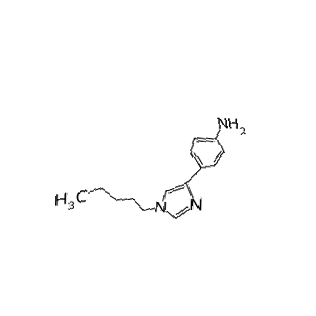 CCCCCn1cnc(-c2ccc(N)cc2)c1